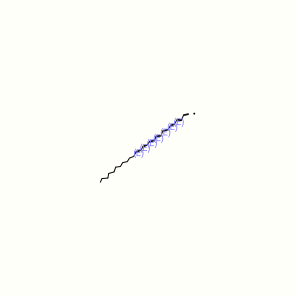 [CH]=C/C=C/C=C/C=C/C=C/C=C/C=C/C=C/CCCCCCCCCCC